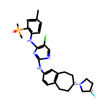 Cc1ccc(Nc2nc(Nc3ccc4c(c3)CC[C@H](N3CC[C@@H](F)C3)CC4)ncc2Cl)c(P(C)(C)=O)c1